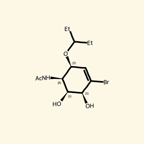 CCC(CC)O[C@H]1C=C(Br)[C@@H](O)[C@@H](O)[C@H]1NC(C)=O